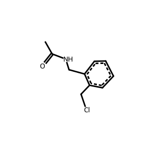 CC(=O)NCc1ccccc1CCl